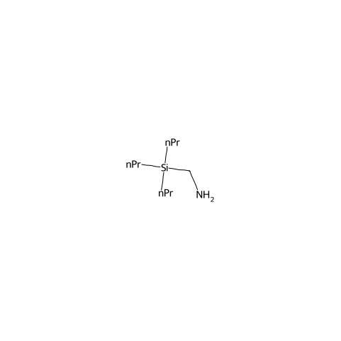 CCC[Si](CN)(CCC)CCC